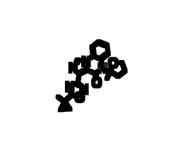 CC1(c2nc(-c3ncn4c3c(=O)n(C3(C)CCCO3)c3ccccc34)no2)CC1